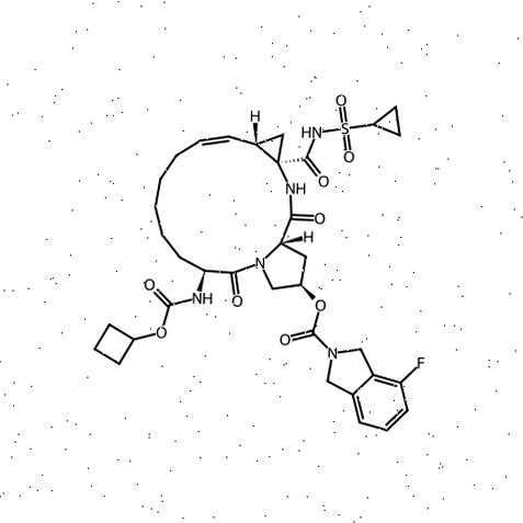 O=C(N[C@H]1CCCCC/C=C\[C@@H]2C[C@@]2(C(=O)NS(=O)(=O)C2CC2)NC(=O)[C@@H]2C[C@@H](OC(=O)N3Cc4cccc(F)c4C3)CN2C1=O)OC1CCC1